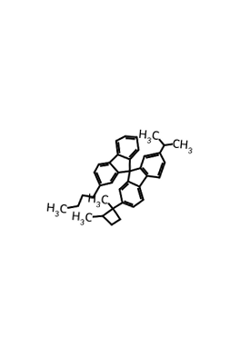 CCCCc1ccc2c(c1)C1(c3ccccc3-2)c2cc(C(C)C)ccc2-c2ccc(C3(C)CCC3C)cc21